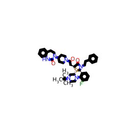 CC(C)(C)N1CCN(c2c(F)cccc2[C@@H]2S[C@@H](CC(=O)N3CCC(N4CCc5ccccc5NC4=O)CC3)C(=O)N2CCc2ccccc2)CC1